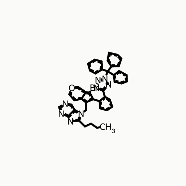 CCCCc1nc2ncncc2n1Cc1c2ccocc-2c(Br)c1-c1ccccc1-c1nnn(C(c2ccccc2)(c2ccccc2)c2ccccc2)n1